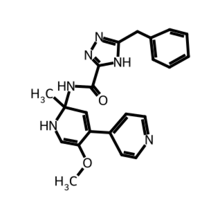 COC1=CNC(C)(NC(=O)c2nnc(Cc3ccccc3)[nH]2)C=C1c1ccncc1